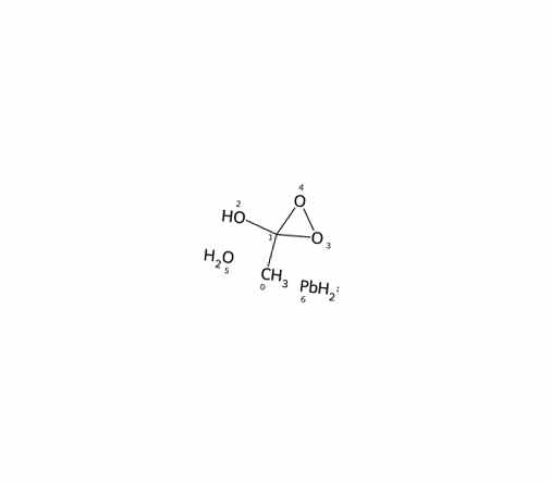 CC1(O)OO1.O.[PbH2]